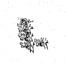 Nc1nc(NC2CC2)c2ncn([C@H]3C=C[C@@H](CO)C3)c2n1.Nc1nc(NC2CC2)c2ncn([C@H]3C=C[C@@H](CO)C3)c2n1.Nc1nc(NC2CC2)c2ncn([C@H]3C=C[C@@H](CO)C3)c2n1.Nc1nc(NC2CC2)c2ncn([C@H]3C=C[C@@H](CO)C3)c2n1.O=C(O)CCC(=O)O.O=S(=O)(O)O